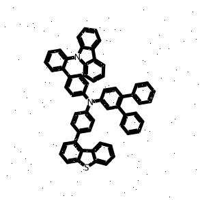 c1ccc(-c2ccc(N(c3ccc(-c4ccccc4-n4c5ccccc5c5ccccc54)cc3)c3ccc(-c4cccc5sc6ccccc6c45)cc3)cc2-c2ccccc2)cc1